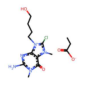 CCC(=O)[O-].Cn1c(N)nc2c(c1=O)n(C)c(Cl)[n+]2CCCCO